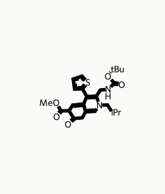 COC(=O)C1C=C2C(=CN(CC(C)C)C(CNC(=O)OC(C)(C)C)=C2c2cccs2)CC1=O